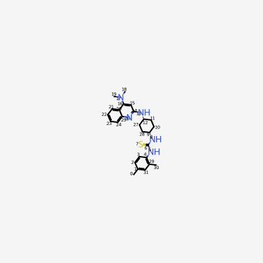 Cc1ccc(NC(=S)N[C@H]2CC[C@@H](Nc3cc(N(C)C)c4ccccc4n3)CC2)c(C)c1